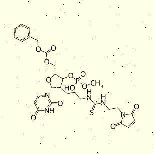 COP(=O)(O)OC1[C@@H](COC(=O)OCc2ccccc2)O[C@@H](n2ccc(=O)[nH]c2=O)[C@H]1CCCNC(=S)NCCN1C(=O)C=CC1=O